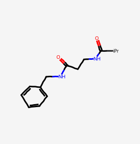 CC(C)C(=O)NCCC(=O)NCc1ccccc1